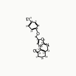 CCc1ccc(OCC2=CN3C(=NCC4=C3C(=O)CCC4)O2)cc1